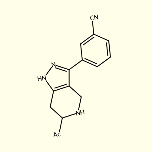 CC(=O)C1Cc2[nH]nc(-c3cccc(C#N)c3)c2CN1